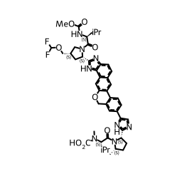 COC(=O)N[C@H](C(=O)N1C[C@@H](COC(F)F)C[C@H]1c1nc2ccc3cc4c(cc3c2[nH]1)OCc1cc(-c2cnc([C@@H]3CC[C@H](C)N3C(=O)[C@H](C(C)C)N(C)C(=O)O)[nH]2)ccc1-4)C(C)C